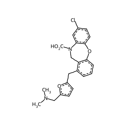 CN(C)Cc1ccc(Cc2cccc3c2CN(C(=O)O)c2cc(Cl)ccc2O3)o1